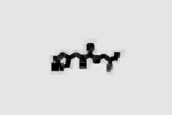 O=C(NCc1cn[nH]c1)OCC(F)F